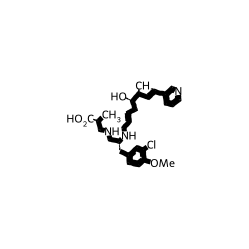 COc1ccc(C[C@H](CNC[C@@H](C)C(=O)O)NC/C=C/C[C@H](O)[C@H](C)/C=C/c2cccnc2)cc1Cl